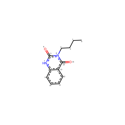 CCCCn1c(=O)[nH]c2ccccc2c1=O